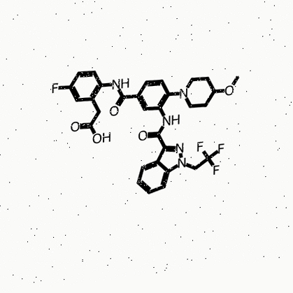 COC1CCN(c2ccc(C(=O)Nc3ccc(F)cc3CC(=O)O)cc2NC(=O)c2nn(CC(F)(F)F)c3ccccc23)CC1